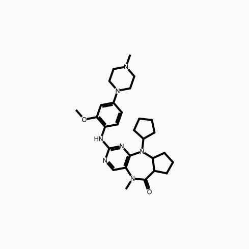 COc1cc(N2CCN(C)CC2)ccc1Nc1ncc2c(n1)N(C1CCCC1)C1CCCC1C(=O)N2C